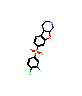 O=S(=O)(c1ccc(Cl)c(Cl)c1)c1ccc2c(c1)OC1CNCCC21